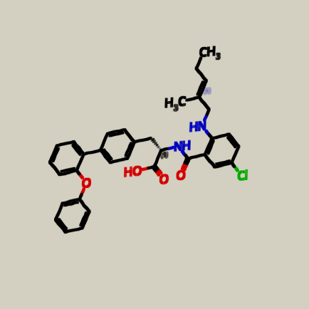 CC/C=C(\C)CNc1ccc(Cl)cc1C(=O)N[C@@H](Cc1ccc(-c2ccccc2Oc2ccccc2)cc1)C(=O)O